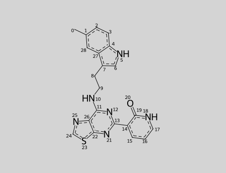 Cc1ccc2[nH]cc(CCNc3nc(-c4ccc[nH]c4=O)nc4scnc34)c2c1